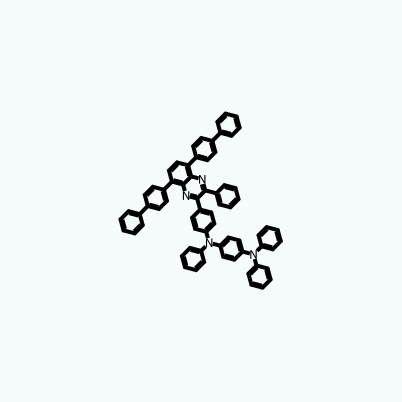 c1ccc(-c2ccc(-c3ccc(-c4ccc(-c5ccccc5)cc4)c4nc(-c5ccc(N(c6ccccc6)c6ccc(N(c7ccccc7)c7ccccc7)cc6)cc5)c(-c5ccccc5)nc34)cc2)cc1